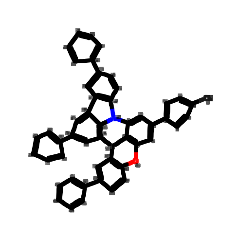 N#Cc1ccc(-c2cc3c4c(c2)-n2c5ccc(-c6ccccc6)cc5c5cc(-c6ccccc6)cc(c52)B4c2cc(-c4ccccc4)ccc2O3)cc1